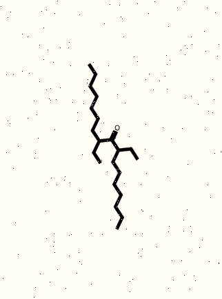 CCCCCCCC(CC)C(=O)C(CC)CCCCCCC